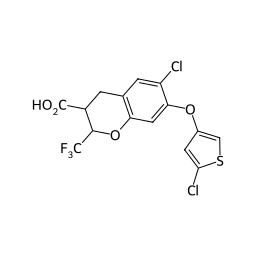 O=C(O)C1Cc2cc(Cl)c(Oc3csc(Cl)c3)cc2OC1C(F)(F)F